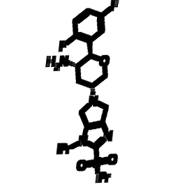 CC(C)n1c(S(=O)(=O)C(C)C)nc2c1CN([C@H]1CO[C@H](c3cc(F)ccc3F)[C@@H](N)C1)C2